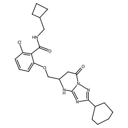 O=C(NCC1CCC1)c1c(Cl)cccc1OCC1CC(=O)n2nc(C3CCCCC3)nc2N1